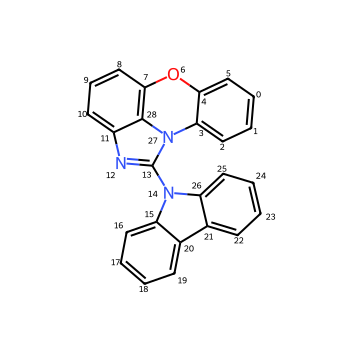 c1ccc2c(c1)Oc1cccc3nc(-n4c5ccccc5c5ccccc54)n-2c13